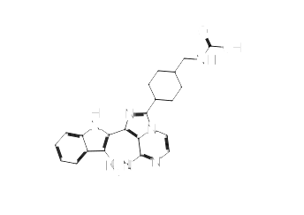 CC(=O)NCC1CCC(c2nc(-c3[nH]c4ccccc4c3C)c3c(N)nccn23)CC1